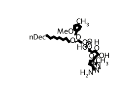 CCCCCCCCCCCCCCCCCCOC[C@H](COP(=O)(O)OCC1O[C@@](C)(c2ccc3c(N)ncnn23)[C@H](O)[C@@H]1O)OCc1ccc(C)cc1OC